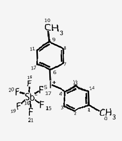 Cc1ccc([I+]c2ccc(C)cc2)cc1.[F][Sb-]([F])([F])([F])([F])[F]